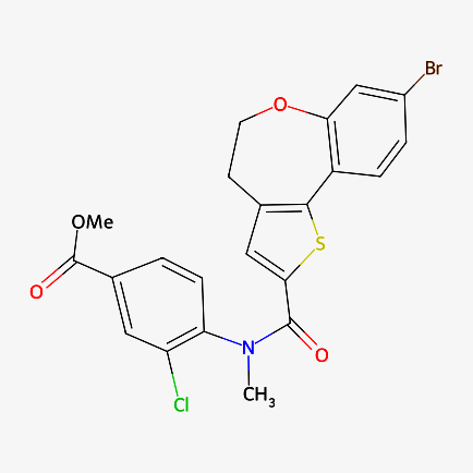 COC(=O)c1ccc(N(C)C(=O)c2cc3c(s2)-c2ccc(Br)cc2OCC3)c(Cl)c1